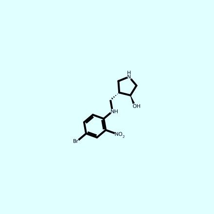 O=[N+]([O-])c1cc(Br)ccc1NC[C@@H]1CNC[C@H]1O